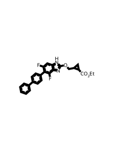 CCOC(=O)C1CC1COc1nc2c(F)c(-c3ccc(-c4ccccc4)cc3)c(F)cc2[nH]1